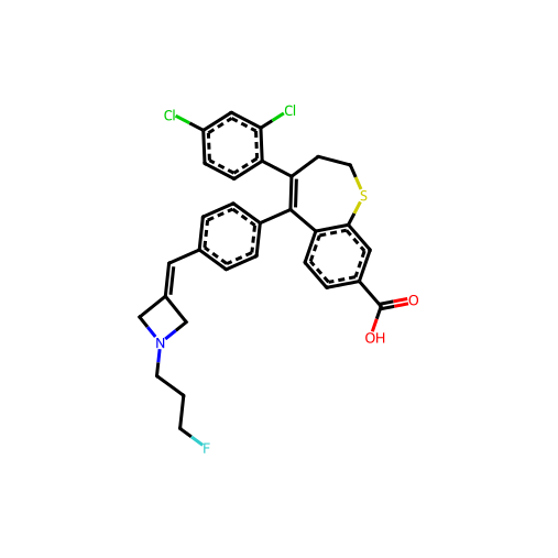 O=C(O)c1ccc2c(c1)SCCC(c1ccc(Cl)cc1Cl)=C2c1ccc(C=C2CN(CCCF)C2)cc1